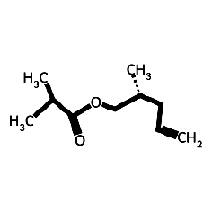 C=CC[C@@H](C)COC(=O)C(C)C